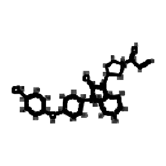 C=CC(=O)N1CCC(n2c(=O)n(-c3ccc(Oc4ccc(Cl)cc4)cc3)c3cnccc32)C1